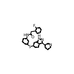 O=C(Cc1ccccc1F)Nc1cccc(Sc2ccc3c(-c4cccnc4)n[nH]c3c2)c1